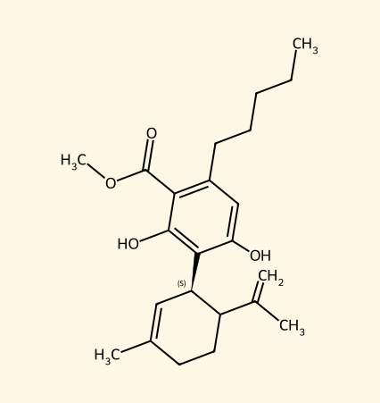 C=C(C)C1CCC(C)=C[C@H]1c1c(O)cc(CCCCC)c(C(=O)OC)c1O